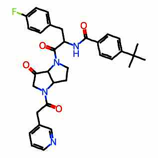 CC(C)(C)c1ccc(C(=O)NC(Cc2ccc(F)cc2)C(=O)N2CCC3C2C(=O)CN3C(=O)Cc2cccnc2)cc1